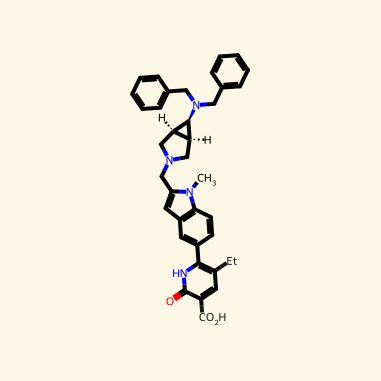 CCc1cc(C(=O)O)c(=O)[nH]c1-c1ccc2c(c1)cc(CN1C[C@@H]3[C@H](C1)[C@@H]3N(Cc1ccccc1)Cc1ccccc1)n2C